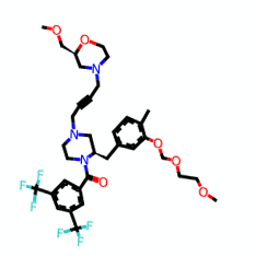 COCCOCOc1cc(C[C@@H]2CN(CC#CCN3CCO[C@H](COC)C3)CCN2C(=O)c2cc(C(F)(F)F)cc(C(F)(F)F)c2)ccc1C